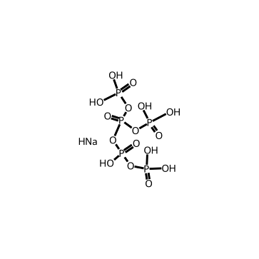 O=P(O)(O)OP(=O)(O)OP(=O)(OP(=O)(O)O)OP(=O)(O)O.[NaH]